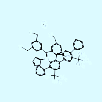 CC(C)(C)c1cc2c(cc1-c1ccccc1)Cc1c-2cc(C(C)(C)C)c(-c2ccccc2)[c]1[Zr+2]([C]1=CC=CC1)=[C](c1cc(CCl)cc(CCl)c1)c1cc(CCl)cc(CCl)c1.[Cl-].[Cl-]